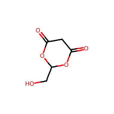 O=C1CC(=O)OC(CO)O1